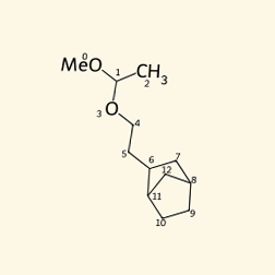 COC(C)OCCC1CC2CCC1C2